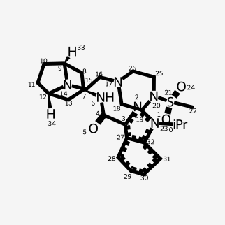 CC(C)n1nc(C(=O)N[C@@H]2C[C@H]3CC[C@@H](C2)N3CCN2CCN(S(C)(=O)=O)CC2)c2ccccc21